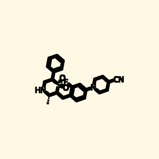 C[C@@H]1NCC(c2ccccc2)S(=O)(=O)C1Cc1ccc(N2CCC(C#N)CC2)cc1F